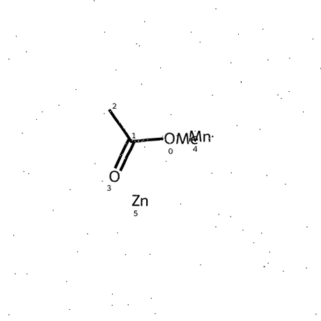 COC(C)=O.[Mn].[Zn]